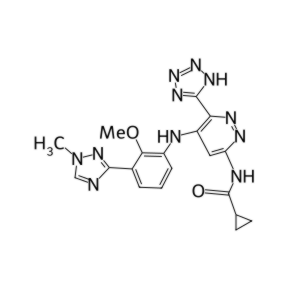 COc1c(Nc2cc(NC(=O)C3CC3)nnc2-c2nnn[nH]2)cccc1-c1ncn(C)n1